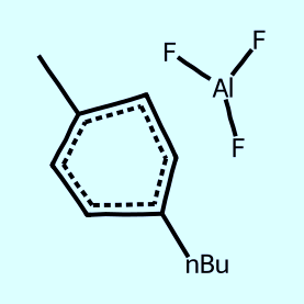 [CH2]CCCc1ccc(C)cc1.[F][Al]([F])[F]